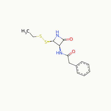 CCSS[C@H]1NC(=O)[C@H]1NC(=O)Cc1ccccc1